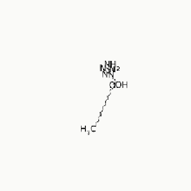 CCCCCCCCCCCCCCCCOC(O)CCn1cnc2c(N)ncnc21